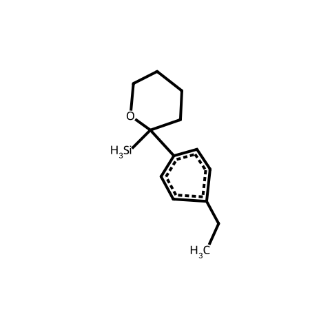 CCc1ccc(C2([SiH3])CCCCO2)cc1